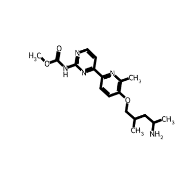 COC(=O)Nc1nccc(-c2ccc(OCC(C)CC(C)N)c(C)n2)n1